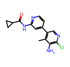 Cc1c(-c2ccnc(NC(=O)C3CC3)c2)cnc(Cl)c1N